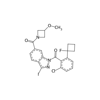 COC1CN(C(=O)c2ccc3c(I)nn(C(=O)c4c(Cl)cccc4C4(F)CCC4)c3c2)C1